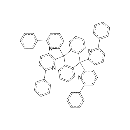 c1ccc(-c2cccc(C3(c4cccc(-c5ccccc5)n4)c4ccccc4C(c4cccc(-c5ccccc5)n4)(c4cccc(-c5ccccc5)n4)c4ccccc43)n2)cc1